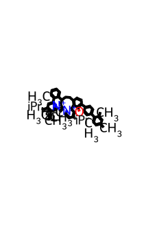 C=C1C2C(CCc3ccc4c(oc5cc(-c6c(C)cc(C)cc6C)ccc54)c3-c3cc(C(C)C)cc[n+]31)c1cccc(C)c1-c1cc(CC(C)C)c([Si](C)(C)C)c[n+]12